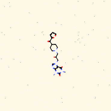 Cn1c(=O)c2c(ncn2CC(O)CN2CCC(C(=O)c3ccco3)CC2)n(C)c1=O